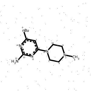 CCCCc1cc(N2CCN(C)CC2)nc(N)n1